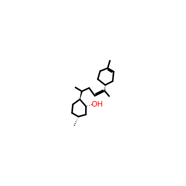 CC1=CC[C@H](/C(C)=C\CC(C)[C@@H]2CC[C@@H](C)C[C@H]2O)CC1